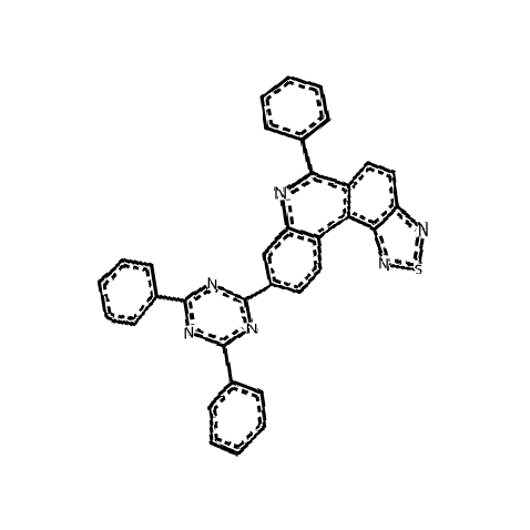 c1ccc(-c2nc(-c3ccccc3)nc(-c3ccc4c(c3)nc(-c3ccccc3)c3ccc5nsnc5c34)n2)cc1